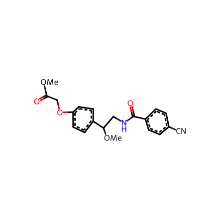 COC(=O)COc1ccc(C(CNC(=O)c2ccc(C#N)cc2)OC)cc1